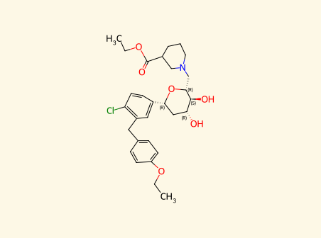 CCOC(=O)C1CCCN(C[C@H]2O[C@@H](c3ccc(Cl)c(Cc4ccc(OCC)cc4)c3)C[C@@H](O)[C@@H]2O)C1